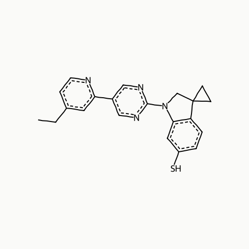 CCc1ccnc(-c2cnc(N3CC4(CC4)c4ccc(S)cc43)nc2)c1